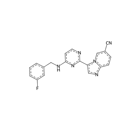 N#Cc1ccc2ncc(-c3nccc(NCc4cccc(F)c4)n3)n2c1